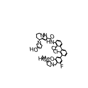 COc1cc(-c2cccc(-c3cccc(NC(=O)c4cc5n(n4)CCCC5N4CC[C@@H](O)C4)c3Cl)c2Cl)cc(F)c1CN1CC[C@@H](O)C1